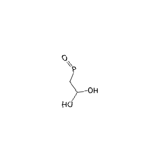 O=PCC(O)O